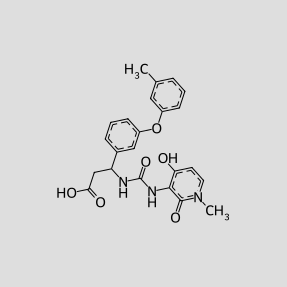 Cc1cccc(Oc2cccc(C(CC(=O)O)NC(=O)Nc3c(O)ccn(C)c3=O)c2)c1